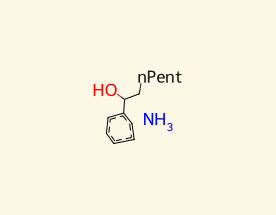 CCCCCCC(O)c1ccccc1.N